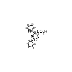 O=C(O)c1ncc(-c2ccccc2)nc1-c1ccccn1